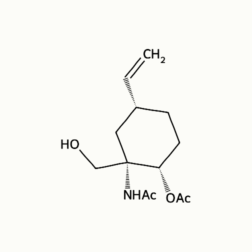 C=C[C@@H]1CC[C@H](OC(C)=O)[C@](CO)(NC(C)=O)C1